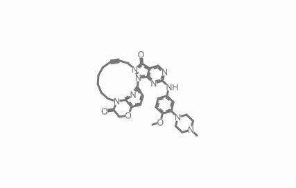 COc1ccc(Nc2ncc3c(=O)n4n(c3n2)-c2ccc3c(n2)N(CCCCCC#CC4)C(=O)CO3)cc1N1CCN(C)CC1